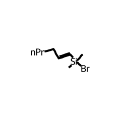 CCCCC=C[Si](C)(C)Br